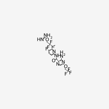 C[C@@H](c1nc(NC(=O)c2ncc(OCC(F)(F)F)nc2N)ccc1F)C(F)(F)COC(=N)N